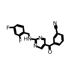 N#Cc1cccc(C(=O)c2cnc(NCc3ccc(F)cc3F)nc2)c1